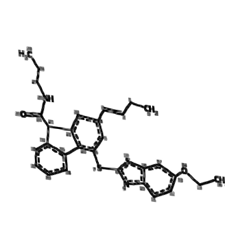 CCC=Cc1cc(Sc2nc3ccc(OCC)cc3s2)c2c(c1)C(C(=O)NCCC)c1ccccc1-2